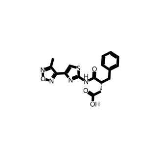 Cc1nonc1-c1csc(NC(=O)[C@@H](CC(=O)O)Cc2ccccc2)n1